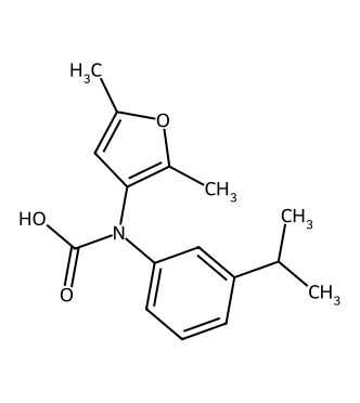 Cc1cc(N(C(=O)O)c2cccc(C(C)C)c2)c(C)o1